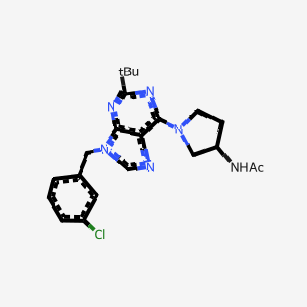 CC(=O)NC1CCN(c2nc(C(C)(C)C)nc3c2ncn3Cc2cccc(Cl)c2)C1